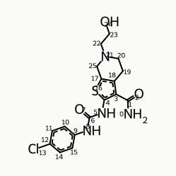 NC(=O)c1c(NC(=O)Nc2ccc(Cl)cc2)sc2c1CCN(CCO)C2